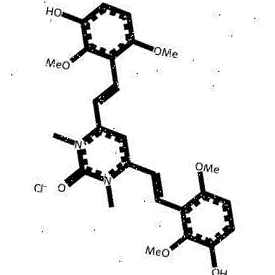 COc1ccc(O)c(OC)c1C=Cc1cc(C=Cc2c(OC)ccc(O)c2OC)[n+](C)c(=O)n1C.[Cl-]